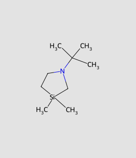 CC(C)(C)N1CC[Si](C)(C)C1